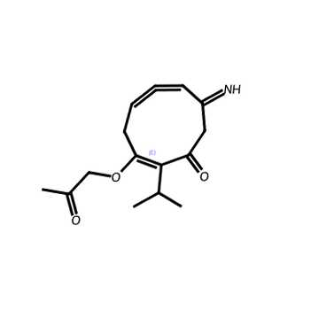 CC(=O)CO/C1=C(\C(C)C)C(=O)CC(=N)C=C=CC1